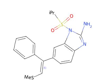 CS/C=C(\c1ccccc1)c1ccc2nc(N)n(S(=O)(=O)C(C)C)c2c1